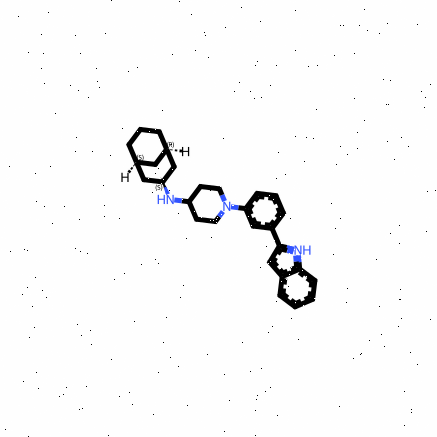 c1cc(-c2cc3ccccc3[nH]2)cc(N2CCC(N[C@@H]3C[C@@H]4CCC[C@@H](C4)C3)CC2)c1